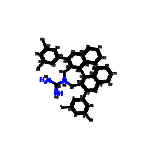 Cc1cc(C)cc(-c2cc3ccccc3c3c2CN(C(=N)N)Cc2c(-c4cc(C)cc(C)c4)cc4ccccc4c2-3)c1